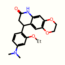 CCOc1cc(N(C)C)ccc1C1CC(=O)Nc2cc3c(cc21)OCCO3